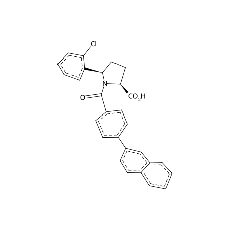 O=C(O)[C@@H]1CC[C@H](c2ccccc2Cl)N1C(=O)c1ccc(-c2ccc3ccccc3c2)cc1